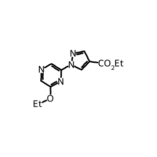 CCOC(=O)c1cnn(-c2cncc(OCC)n2)c1